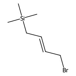 C[Si](C)(C)C/C=C/CBr